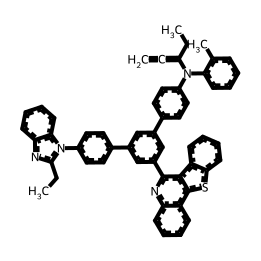 C=C=C(CC)N(c1ccc(-c2cc(-c3ccc(-n4c(CC)nc5ccccc54)cc3)cc(-c3nc4ccccc4c4sc5ccccc5c34)c2)cc1)c1ccccc1C